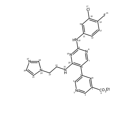 CCOC(=O)c1cncc(-c2cnc(Nc3ccc(F)c(Cl)c3)nc2NCCn2ccnc2)c1